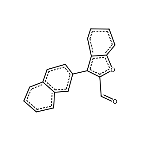 O=Cc1oc2ccccc2c1-c1ccc2ccccc2c1